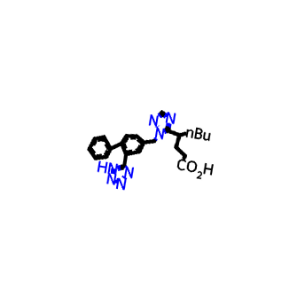 CCCCC(CCC(=O)O)c1ncnn1Cc1ccc(-c2ccccc2)c(-c2nnn[nH]2)c1